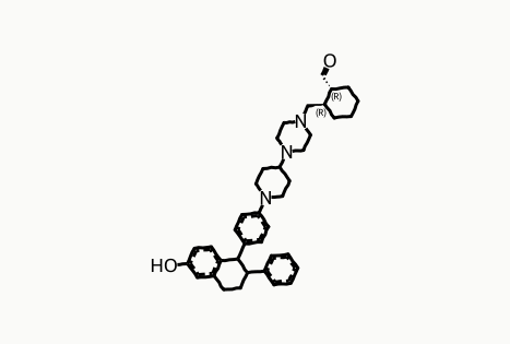 O=C[C@@H]1CCCC[C@H]1CN1CCN(C2CCN(c3ccc(C4c5ccc(O)cc5CCC4c4ccccc4)cc3)CC2)CC1